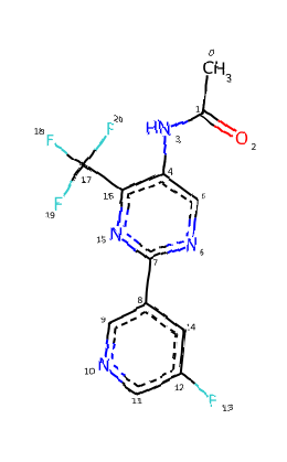 CC(=O)Nc1cnc(-c2cncc(F)c2)nc1C(F)(F)F